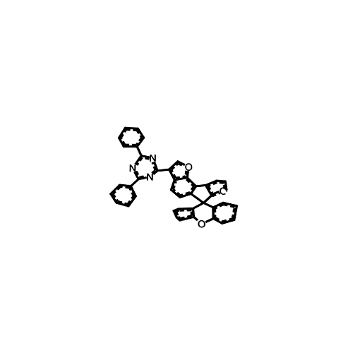 c1ccc(-c2nc(-c3ccccc3)nc(-c3coc4c5c(ccc34)C3(c4ccccc4Oc4ccccc43)c3ccccc3-5)n2)cc1